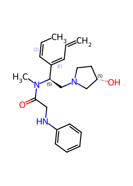 C=C/C=C(\C=C/C)[C@@H](CN1CC[C@H](O)C1)N(C)C(=O)CNc1ccccc1